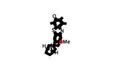 COCCN1[C@@H]2CC[C@H]1CN(c1ccc3nc4c(C)c(C)c(=O)c(C)c-4sc3c1)C2